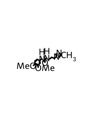 COc1ccc(NC(=O)NCCCn2cnc(C)c2)cc1OC